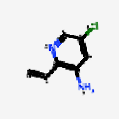 C=Cc1ncc(Cl)cc1N